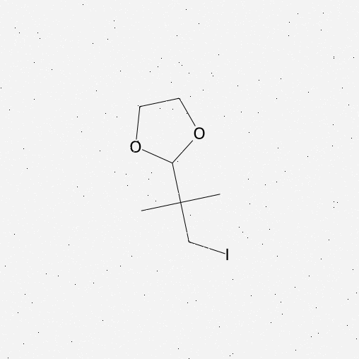 CC(C)(CI)C1OCCO1